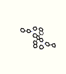 C1=C(c2c3cc(N(c4ccccc4)c4ccc(-c5ccccc5)cc4)ccc3c(-c3ccc4ccccc4c3)c3cc(N(c4ccccc4)c4ccc(-c5ccccc5)cc4)ccc23)CCc2ccccc21